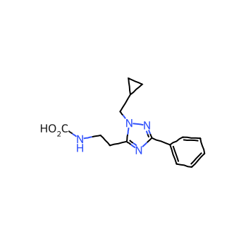 O=C(O)NCCc1nc(-c2ccccc2)nn1CC1CC1